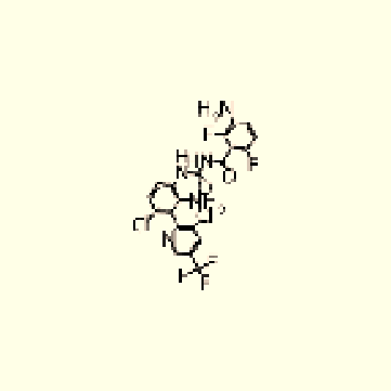 Nc1ccc(F)c(C(=O)NC(=O)Nc2ccc(Cl)c(-c3ncc(C(F)(F)F)cc3Cl)c2N)c1F